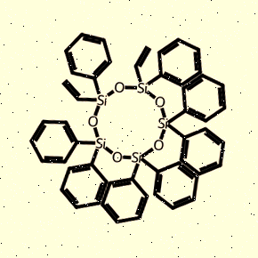 C=C[Si]1(c2ccccc2)O[Si](C=C)(c2ccccc2)O[Si](c2ccccc2)(c2ccccc2)O[Si](c2ccccc2)(c2ccccc2)O[Si](c2ccccc2)(c2ccccc2)O1